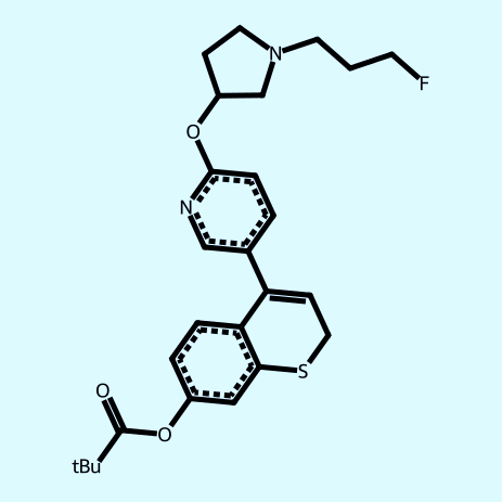 CC(C)(C)C(=O)Oc1ccc2c(c1)SCC=C2c1ccc(OC2CCN(CCCF)C2)nc1